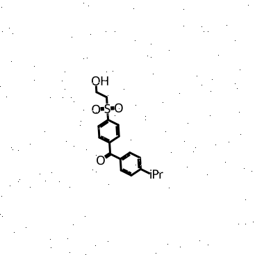 CC(C)c1ccc(C(=O)c2ccc(S(=O)(=O)CCO)cc2)cc1